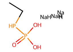 CCPP(=O)(O)O.[NaH].[NaH].[NaH]